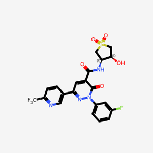 O=C(N[C@H]1CS(=O)(=O)C[C@H]1O)c1cc(-c2ccc(C(F)(F)F)nc2)nn(-c2cccc(F)c2)c1=O